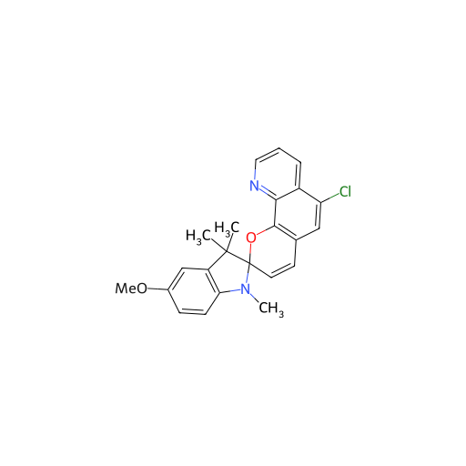 COc1ccc2c(c1)C(C)(C)C1(C=Cc3cc(Cl)c4cccnc4c3O1)N2C